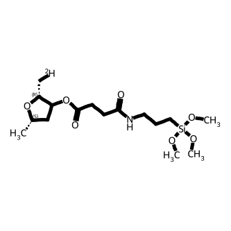 [2H]C[C@H]1O[C@@H](C)CC1OC(=O)CCC(=O)NCCC[Si](OC)(OC)OC